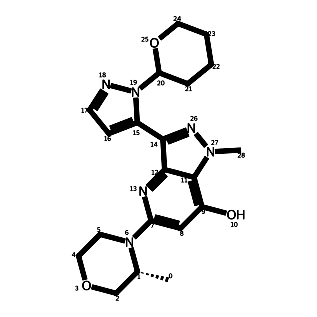 C[C@@H]1COCCN1c1cc(O)c2c(n1)c(-c1ccnn1C1CCCCO1)nn2C